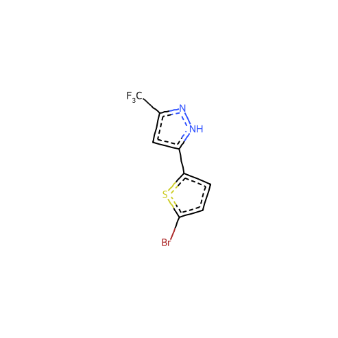 FC(F)(F)c1cc(-c2ccc(Br)s2)[nH]n1